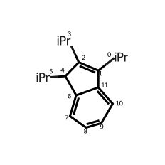 CC(C)C1=C(C(C)C)C(C(C)C)c2ccccc21